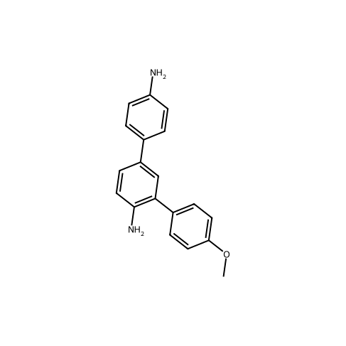 COc1ccc(-c2cc(-c3ccc(N)cc3)ccc2N)cc1